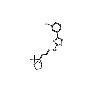 CC1(C)C(=CC=NNc2nc(-c3cccc(Br)c3)cs2)C2CCC1C2